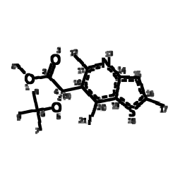 COC(=O)[C@@H](OC(C)(C)C)c1c(C)nc2cc(C)sc2c1I